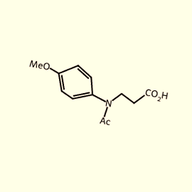 COc1ccc(N(CCC(=O)O)C(C)=O)cc1